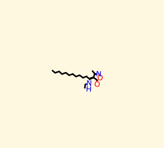 CCCCCCCCCCCC(NCC)=C1C(=O)ON=C1C